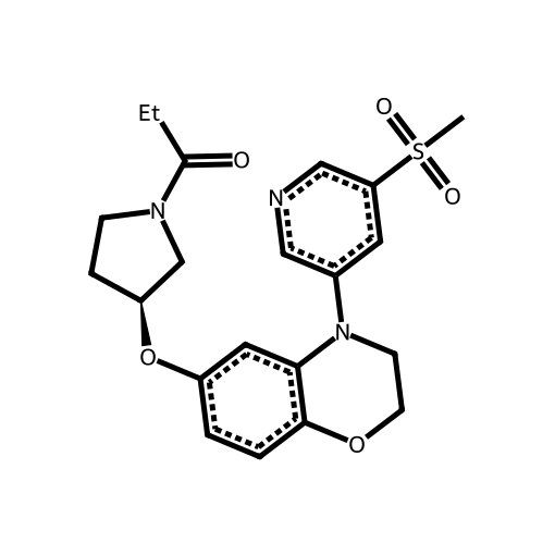 CCC(=O)N1CC[C@H](Oc2ccc3c(c2)N(c2cncc(S(C)(=O)=O)c2)CCO3)C1